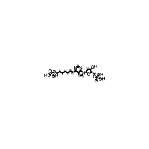 O=P(O)(O)OCCCCCCSc1ncnc2c1ncn2[C@H]1C[C@H](O)[C@@H](COP(=O)(O)O)O1